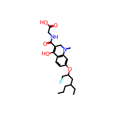 CCCC(CC)CC(CF)Oc1ccc2c(c1)N(C)CC(C(=O)NCC(=O)O)=C2O